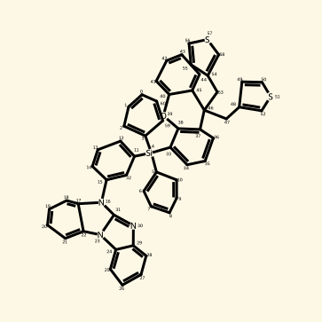 c1ccc([Si](c2ccccc2)(c2cccc(-n3c4ccccc4n4c5ccccc5nc34)c2)c2cccc3c2Oc2ccccc2C3(Cc2ccsc2)Cc2ccsc2)cc1